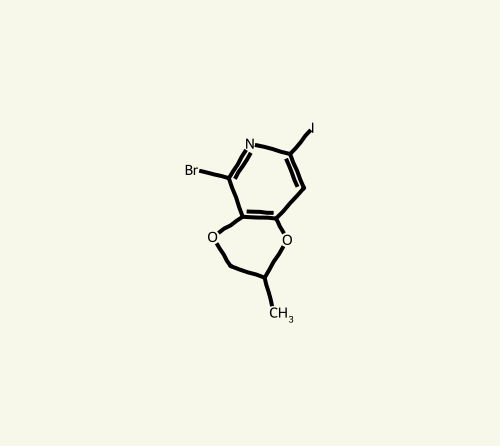 CC1COc2c(cc(I)nc2Br)O1